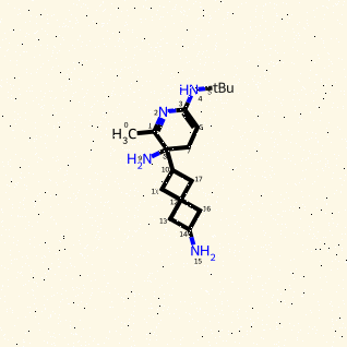 CC1=NC(NC(C)(C)C)=CCC1(N)C1CC2(CC(N)C2)C1